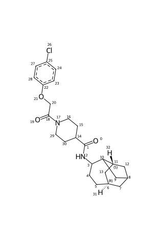 O=C(NC1CC[C@@H]2CC3CC1[C@H](C3)C2)C1CCN(C(=O)COc2ccc(Cl)cc2)CC1